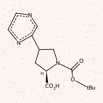 CC(C)(C)OC(=O)N1CC(c2cnccn2)C[C@@H]1C(=O)O